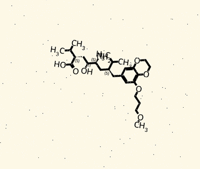 COCCCOc1cc(C[C@@H](C[C@H](N)[C@@H](O)C[C@H](C(=O)O)C(C)C)C(C)C)cc2c1OCCO2